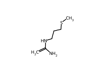 C=C(N)NCCCSC